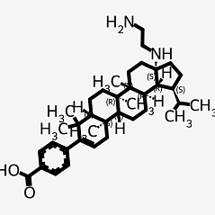 CC(C)[C@@H]1CC[C@]2(NCCN)CC[C@]3(C)[C@H](CC[C@@H]4[C@@]5(C)CC=C(c6ccc(C(=O)O)cc6)C(C)(C)[C@@H]5CC[C@]43C)[C@@H]12